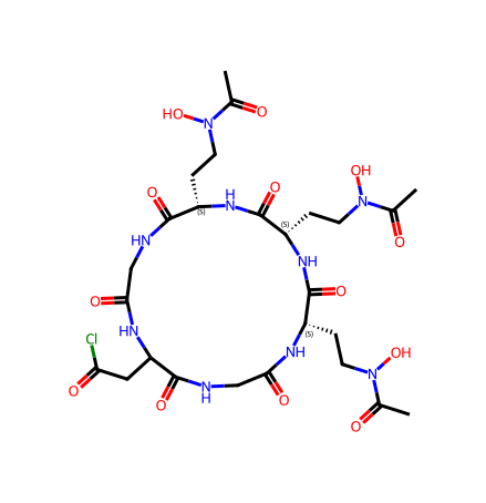 CC(=O)N(O)CC[C@@H]1NC(=O)CNC(=O)C(CC(=O)Cl)NC(=O)CNC(=O)[C@H](CCN(O)C(C)=O)NC(=O)[C@H](CCN(O)C(C)=O)NC1=O